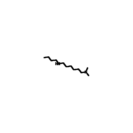 CCCCNCCCCCCN(C)C